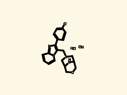 Cl.Cl.Clc1ccc(-c2nc3ccccn3c2CN2CC3COCC(C2)N3)cc1